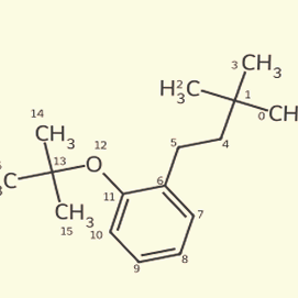 CC(C)(C)CCc1ccccc1OC(C)(C)C